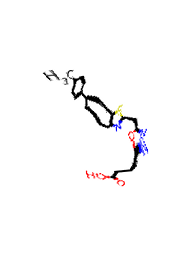 Cc1ccc(-c2ccc3nc(Cc4nnc(CCC(=O)O)o4)sc3c2)cc1